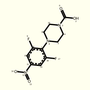 O=C(O)N1CCN(c2c(F)cc([N+](=O)[O-])cc2F)CC1